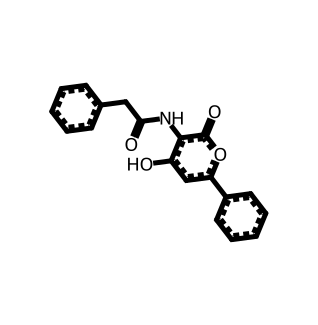 O=C(Cc1ccccc1)Nc1c(O)cc(-c2ccccc2)oc1=O